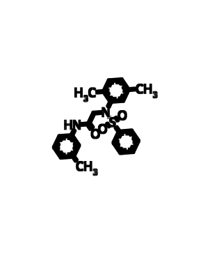 Cc1cccc(NC(=O)CN(c2cc(C)ccc2C)S(=O)(=O)c2ccccc2)c1